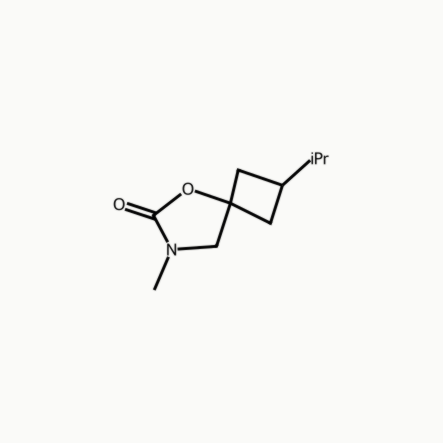 CC(C)C1CC2(C1)CN(C)C(=O)O2